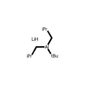 CC(C)[CH2][Al]([CH2]C(C)C)[C](C)(C)C.[LiH]